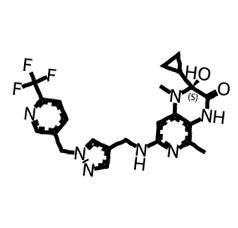 Cc1nc(NCc2cnn(Cc3ccc(C(F)(F)F)nc3)c2)cc2c1NC(=O)[C@@](O)(C1CC1)N2C